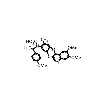 COc1ccc(C(C)N(C(=O)O)c2cc(C)c(Oc3ccnc4cc(OC)c(OC)cc34)cc2C)cc1